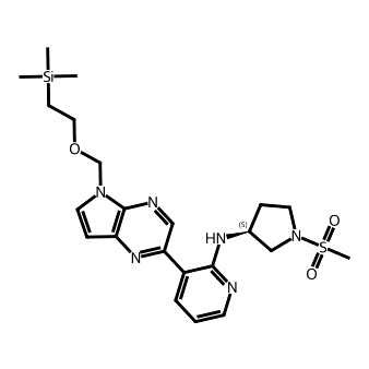 C[Si](C)(C)CCOCn1ccc2nc(-c3cccnc3N[C@H]3CCN(S(C)(=O)=O)C3)cnc21